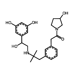 CC(C)(Cc1cccc(CC(=O)N2CCC(O)C2)c1)NCC(O)c1cc(O)cc(O)c1